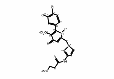 CCn1c(Cn2ccc(NC(=O)CCOC)n2)cc(=O)c(C(=O)O)c1-c1ccc(Cl)c(Cl)c1